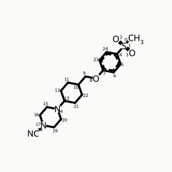 CS(=O)(=O)c1ccc(OCC2CCC(N3CCN(C#N)CC3)CC2)cc1